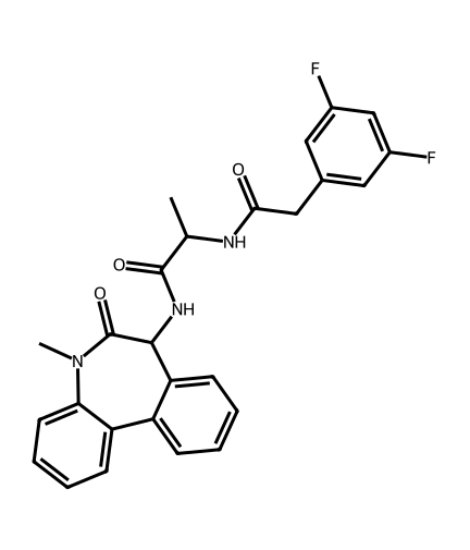 CC(NC(=O)Cc1cc(F)cc(F)c1)C(=O)NC1C(=O)N(C)c2ccccc2-c2ccccc21